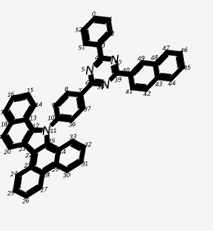 c1ccc(-c2nc(-c3ccc(-n4c5c6ccccc6ccc5c5c6ccccc6c6ccccc6c54)cc3)nc(-c3ccc4ccccc4c3)n2)cc1